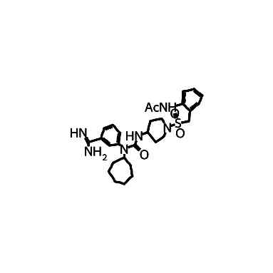 CC(=O)Nc1ccccc1CS(=O)(=O)N1CCC(NC(=O)N(c2cccc(C(=N)N)c2)C2CCCCCC2)CC1